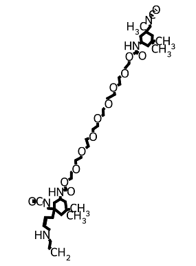 C=CCNC/C=C\CC1(CN=C=O)CC(NC(=O)OCCOCCOCCOCCOCCOCCOCCOCCOC(=O)NC2CC(C)(C)CC(C)(CN=C=O)C2)CC(C)(C)C1